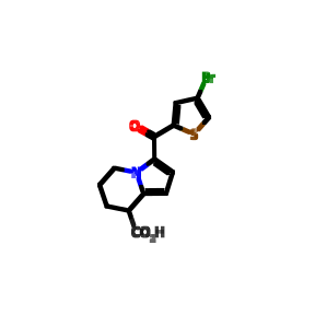 O=C(c1cc(Br)cs1)c1ccc2n1CCCC2C(=O)O